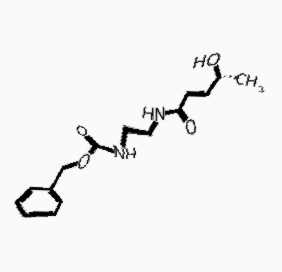 C[C@@H](O)/C=C/C(=O)NCCNC(=O)OCc1ccccc1